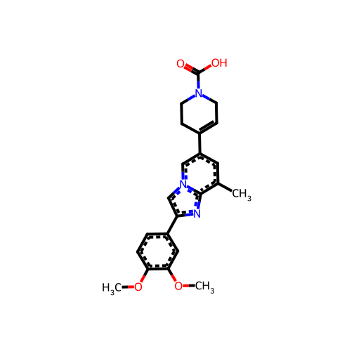 COc1ccc(-c2cn3cc(C4=CCN(C(=O)O)CC4)cc(C)c3n2)cc1OC